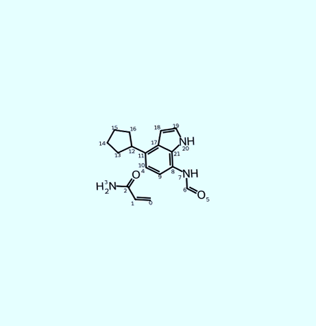 C=CC(N)=O.O=CNc1ccc(C2CCCC2)c2cc[nH]c12